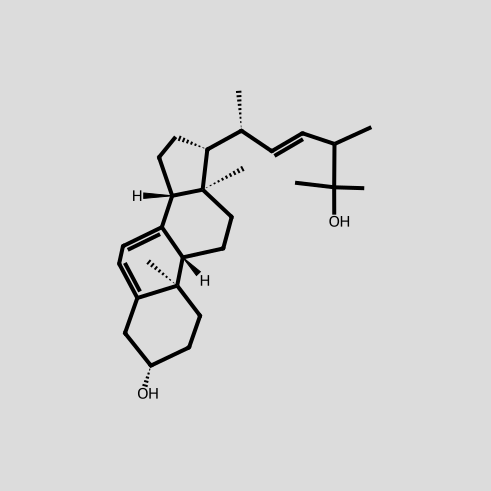 CC(C=C[C@@H](C)[C@H]1CC[C@H]2C3=CC=C4C[C@@H](O)CC[C@]4(C)[C@H]3CC[C@]12C)C(C)(C)O